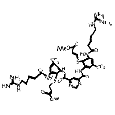 COC(=O)CCSc1c(NC(=O)CCCCNC(=N)N)cc(C(F)(F)F)cc1NC(=O)c1cc(C(=O)Nc2cc(C(F)(F)F)cc(NC(=O)CCCCNC(=N)N)c2SCCC(=O)OC)ncn1